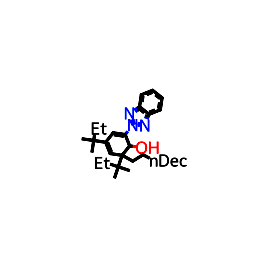 CCCCCCCCCCCCC1(C(C)(C)CC)C=C(C(C)(C)CC)C=C(n2nc3ccccc3n2)C1O